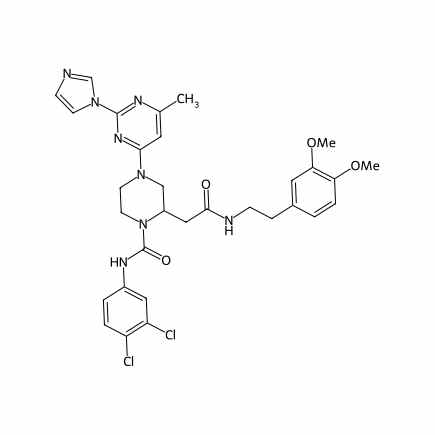 COc1ccc(CCNC(=O)CC2CN(c3cc(C)nc(-n4ccnc4)n3)CCN2C(=O)Nc2ccc(Cl)c(Cl)c2)cc1OC